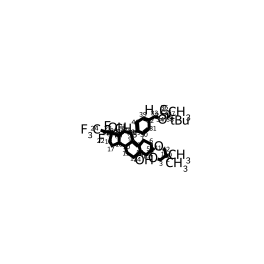 CC1(C)COC2(CCC3=C4C(CC[C@@]3(O)C2)C2CC[C@@](O)(C(F)(F)C(F)(F)F)[C@@]2(C)C[C@@H]4c2ccc(CO[Si](C)(C)C(C)(C)C)cc2)OC1